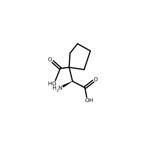 N[C@H](C(=O)O)C1(C(=O)O)CCCC1